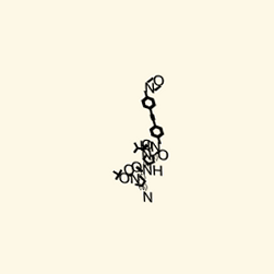 CC(C)C(=O)N1C[C@H](NC(=O)[C@@H]2C[C@H](C#N)CN2C(=O)OC(C)(C)C)C[C@@H]1C(=O)NCc1ccc(C#Cc2ccc(CN3CCOCC3)cc2)cc1